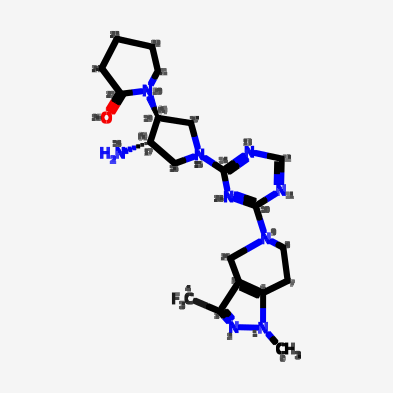 Cn1nc(C(F)(F)F)c2c1CCN(c1ncnc(N3C[C@H](N)[C@@H](N4CCCCC4=O)C3)n1)C2